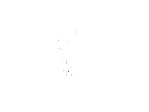 O=C(O)NS(=O)(=O)NCc1cccc(O)c1